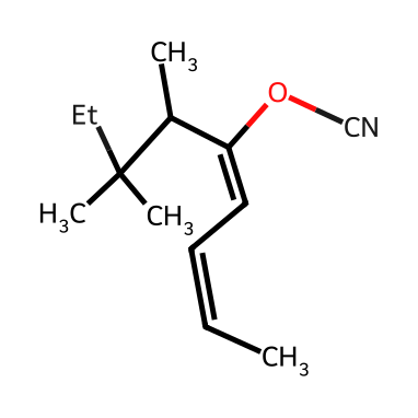 C/C=C\C=C(\OC#N)C(C)C(C)(C)CC